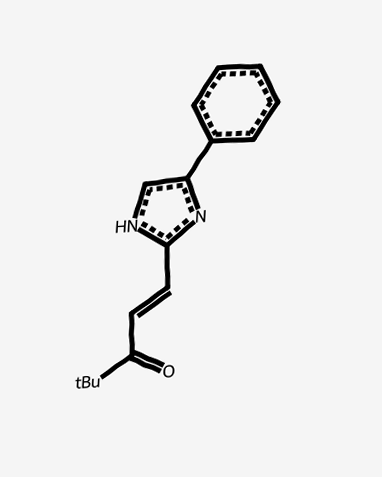 CC(C)(C)C(=O)C=Cc1nc(-c2ccccc2)c[nH]1